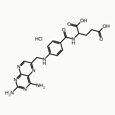 Cl.Nc1nc(N)c2nc(CNc3ccc(C(=O)NC(CCC(=O)O)C(=O)O)cc3)cnc2n1